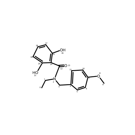 CCN(Cc1ccc(OC)cc1)C(=O)c1c(O)cccc1O